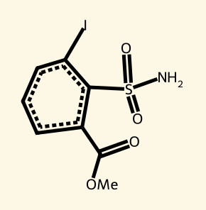 COC(=O)c1cccc(I)c1S(N)(=O)=O